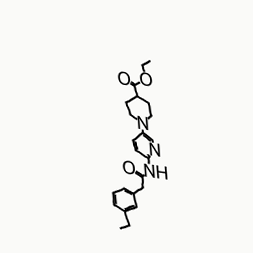 CCOC(=O)C1CCN(c2ccc(NC(=O)Cc3cccc(CC)c3)nc2)CC1